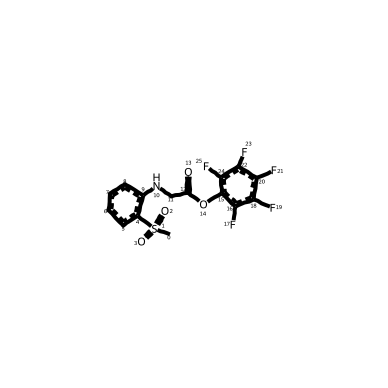 CS(=O)(=O)c1ccccc1NCC(=O)Oc1c(F)c(F)c(F)c(F)c1F